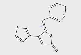 O=C1C=C(c2ccsc2)/C(=C/c2ccccc2)O1